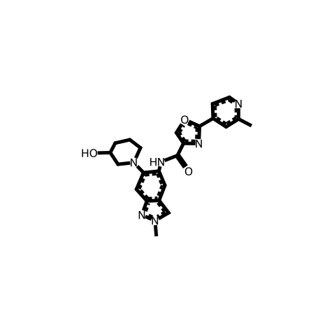 Cc1cc(-c2nc(C(=O)Nc3cc4cn(C)nc4cc3N3CCCC(O)C3)co2)ccn1